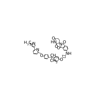 Cn1cc(-c2cccc(COc3ccc(C(C)(C)c4ccc(O[C@H]5C[C@H](Nc6ccc7c(c6)C(=O)N(C6CCC(=O)NC6=O)C7=O)C5)cc4)cc3)n2)cn1